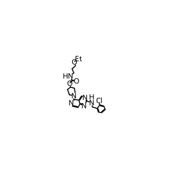 CCOCCCNC(=O)OC1CCN(c2nccc3nc(NCc4ccccc4Cl)ncc23)CC1